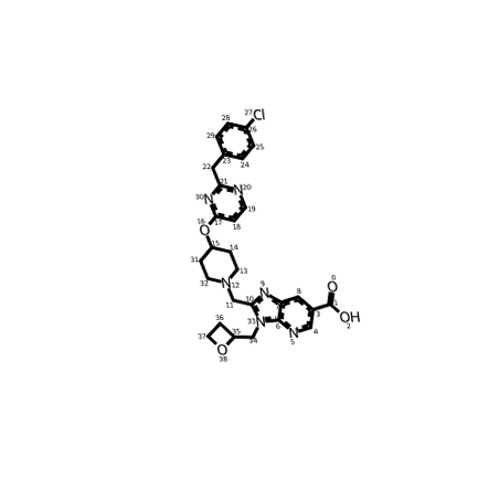 O=C(O)c1cnc2c(c1)nc(CN1CCC(Oc3ccnc(Cc4ccc(Cl)cc4)n3)CC1)n2CC1CCO1